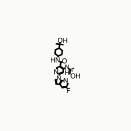 C[C@@H](CO)Nc1cc(-n2ccc3cc(F)cnc32)ncc1C(=O)NC1CCC(C(C)(C)O)CC1